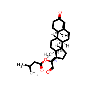 CC(C)CC(=O)O/C(C=O)=C1/CC[C@H]2[C@@H]3CCC4=CC(=O)CC[C@]4(C)[C@H]3CC[C@]12C